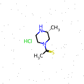 CC(=S)N1CCN[C@H](C)C1.Cl